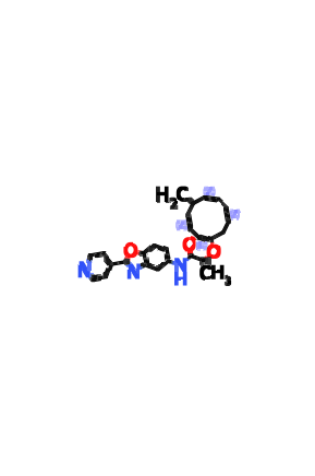 C=C1/C=C\C=C/C/C(O[C@H](C)C(=O)Nc2ccc3oc(-c4ccncc4)nc3c2)=C\C=C/1